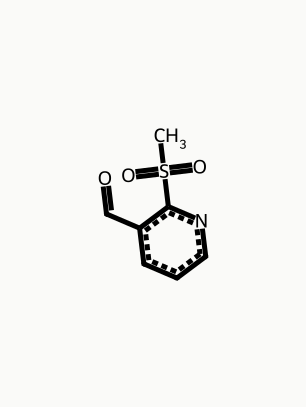 CS(=O)(=O)c1ncccc1C=O